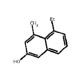 CCc1cccc2cc(O)cc(C)c12